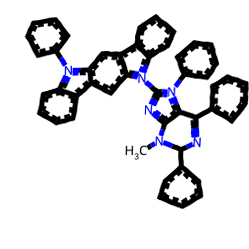 CN1c2nc(-n3c4ccccc4c4cc5c(cc43)c3ccccc3n5-c3ccccc3)n(-c3ccccc3)c2C(c2ccccc2)=NC1c1ccccc1